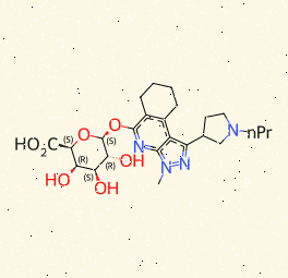 CCCN1CCC(c2nn(C)c3nc(O[C@@H]4O[C@H](C(=O)O)[C@H](O)[C@H](O)[C@H]4O)c4c(c23)CCCC4)C1